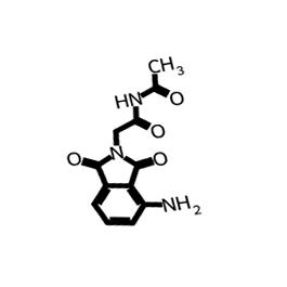 CC(=O)NC(=O)CN1C(=O)c2cccc(N)c2C1=O